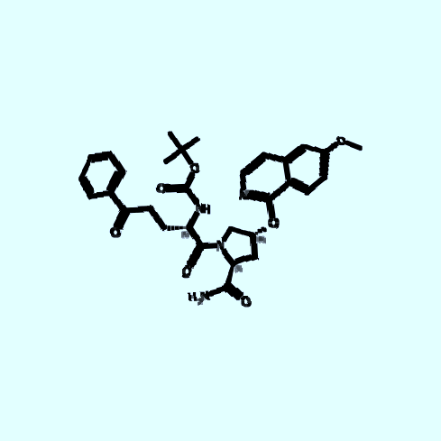 COc1ccc2c(O[C@@H]3C[C@@H](C(N)=O)N(C(=O)[C@H](CCC(=O)c4ccccc4)NC(=O)OC(C)(C)C)C3)nccc2c1